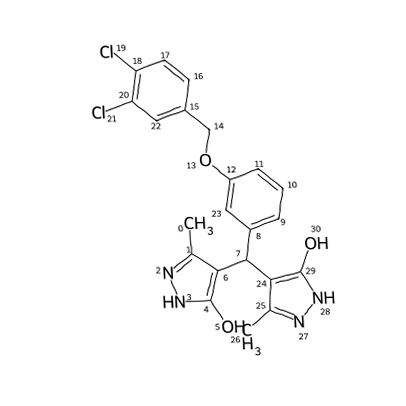 Cc1n[nH]c(O)c1C(c1cccc(OCc2ccc(Cl)c(Cl)c2)c1)c1c(C)n[nH]c1O